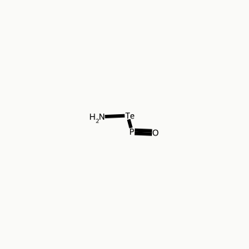 N[Te]P=O